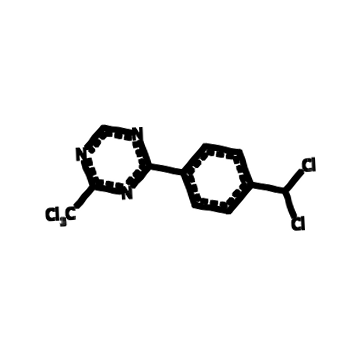 ClC(Cl)c1ccc(-c2ncnc(C(Cl)(Cl)Cl)n2)cc1